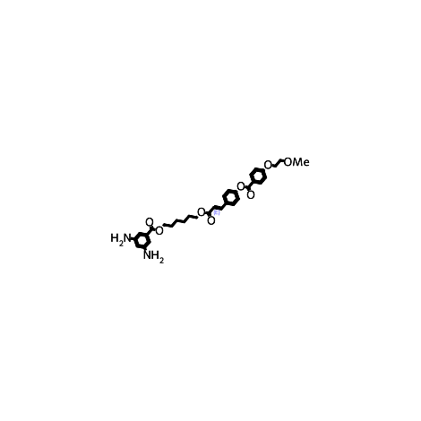 COCCOc1ccc(C(=O)Oc2ccc(/C=C/C(=O)OCCCCCCOC(=O)c3cc(N)cc(N)c3)cc2)cc1